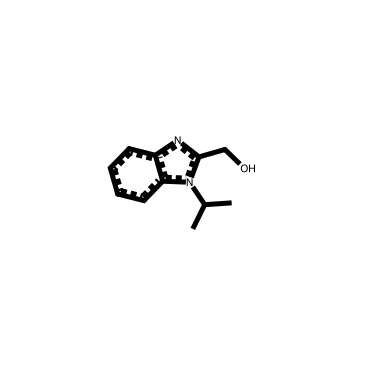 CC(C)n1c(CO)nc2ccccc21